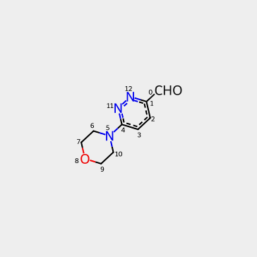 O=Cc1ccc(N2CCOCC2)nn1